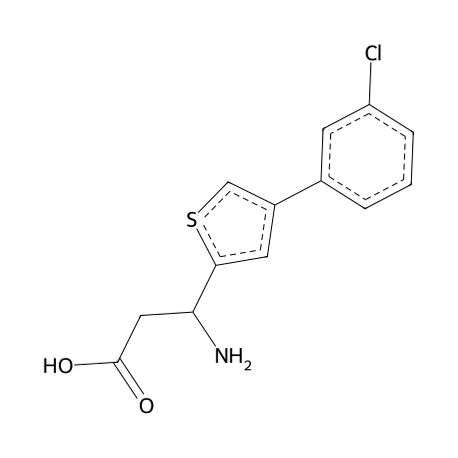 NC(CC(=O)O)c1cc(-c2cccc(Cl)c2)cs1